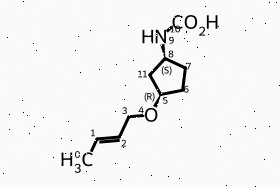 CC=CCO[C@@H]1CC[C@H](NC(=O)O)C1